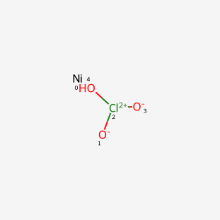 [Ni].[O-][Cl+2]([O-])O